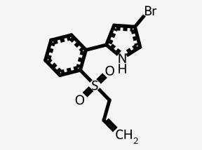 C=CCS(=O)(=O)c1ccccc1-c1cc(Br)c[nH]1